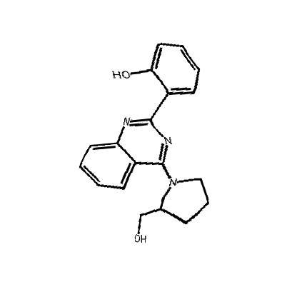 OCC1CCCN1c1nc(-c2ccccc2O)nc2ccccc12